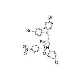 COc1ccc(N(CC(Br)Cn2c3ccc(Br)cc3c3cc(Br)ccc32)S(=O)(=O)c2ccc([N+](=O)[O-])cc2)cc1